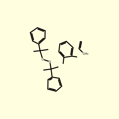 C=COC(C)=O.CC(C)(OOC(C)(C)c1ccccc1)c1ccccc1.Cc1ccccc1C